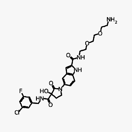 NCCOCCOCCNC(=O)c1cc2cc(N3CCC(O)(C(=O)NCc4cc(F)cc(Cl)c4)C3=O)ccc2[nH]1